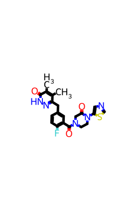 Cc1c(Cc2ccc(F)c(C(=O)N3CCN(c4cncs4)C(=O)C3)c2)n[nH]c(=O)c1C